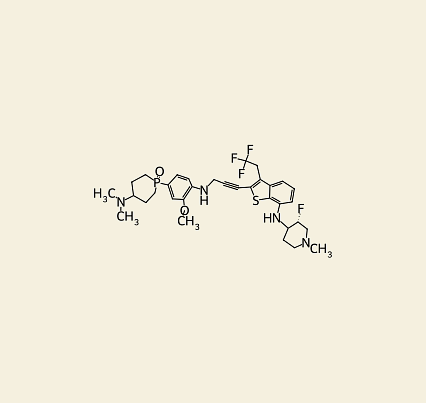 COc1cc(P2(=O)CCC(N(C)C)CC2)ccc1NCC#Cc1sc2c(NC3CCN(C)C[C@H]3F)cccc2c1CC(F)(F)F